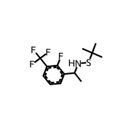 CC(NSC(C)(C)C)c1cccc(C(F)(F)F)c1F